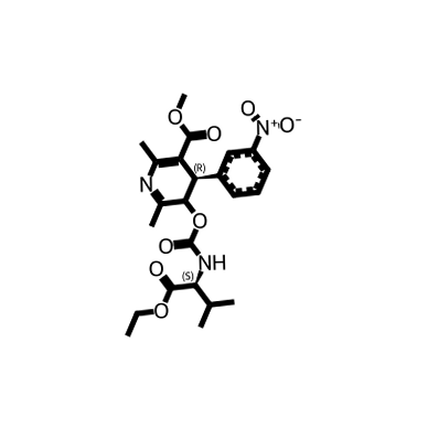 CCOC(=O)[C@@H](NC(=O)OC1C(C)=NC(C)=C(C(=O)OC)[C@H]1c1cccc([N+](=O)[O-])c1)C(C)C